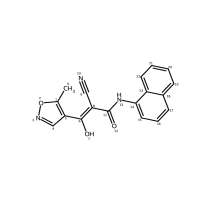 Cc1oncc1/C(O)=C(\C#N)C(=O)Nc1cccc2ccccc12